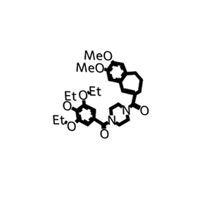 CCOc1cc(C(=O)N2CCN(C(=O)C3=Cc4cc(OC)c(OC)cc4CCC3)CC2)cc(OCC)c1OCC